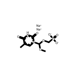 COC(OCP(=O)([O-])[O-])n1cc(C)c(=O)[nH]c1=O.[Na+].[Na+]